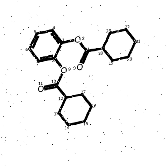 O=C(Oc1ccccc1OC(=O)C1CCCCC1)C1CCCCC1